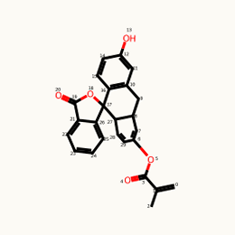 C=C(C)C(=O)OC1=CC2Cc3cc(O)ccc3C3(OC(=O)c4ccccc43)C2C=C1